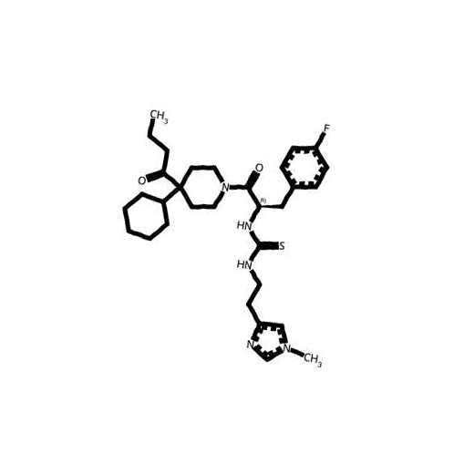 CCCC(=O)C1(C2CCCCC2)CCN(C(=O)[C@@H](Cc2ccc(F)cc2)NC(=S)NCCc2cn(C)cn2)CC1